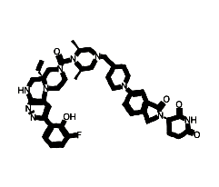 CC[C@@]12CNc3nnc(-c4cccc(F)c4O)cc3N1CCN(C(=O)N1[C@H](C)CN(CC3CCN(c4ccc5c(c4)C(=O)N([C@H]4CCC(=O)NC4=O)C5)CC3)C[C@@H]1C)C2